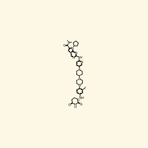 CN(C)C(=O)c1cc2cnc(Nc3ccc(N4CCC(N5CCN(c6ccc(N[C@H]7CCC(=O)NC7=O)cc6F)CC5)CC4)cn3)nc2n1C1CCCC1